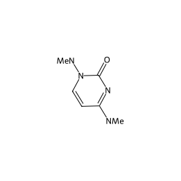 CNc1ccn(NC)c(=O)n1